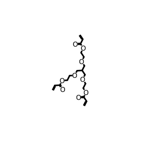 C=CC(=O)OCCOCC(COCCOC(=O)C=C)COCCOC(=O)C=C